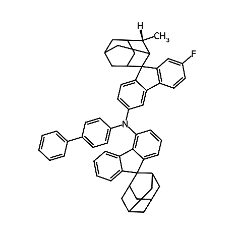 C[C@H]1C2CC3CC(C2)C2(c4ccc(N(c5ccc(-c6ccccc6)cc5)c5cccc6c5-c5ccccc5C65C6CC7CC(C6)CC5C7)cc4-c4ccc(F)cc42)C1C3